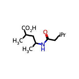 CC(C)CC(=O)NC(C)CC(C)C(=O)O